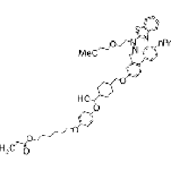 C=CC(=O)OCCCCCCOc1ccc(OC(O)C2CCC(COc3ccc(-c4ccc(CCC)cc4)c(/C=N/N(CCOCCOC)c4nc5ccccc5s4)c3)CC2)cc1